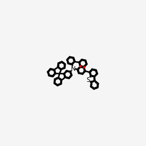 c1ccc(-c2ccccc2N(c2ccc(-c3cccc4c3sc3ccccc34)cc2)c2ccc3c(c2)C2(c4ccccc4-c4ccccc42)c2ccccc2-3)cc1